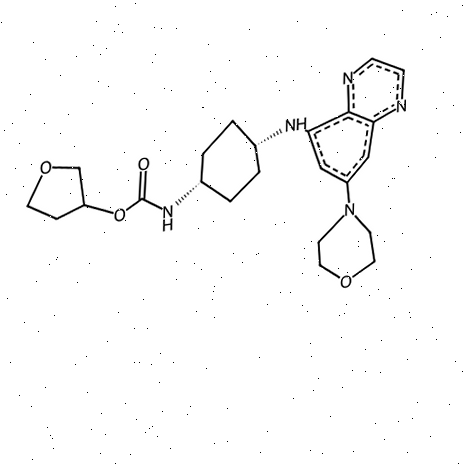 O=C(N[C@H]1CC[C@@H](Nc2cc(N3CCOCC3)cc3nccnc23)CC1)OC1CCOC1